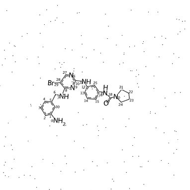 Nc1cccc(CNc2nc(Nc3cccc(NC(=O)N4CCCC4)c3)ncc2Br)c1